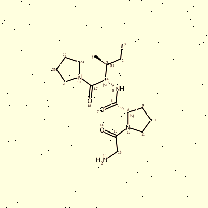 CC[C@H](C)[C@H](NC(=O)[C@@H]1CCCN1C(=O)CN)C(=O)N1CCCC1